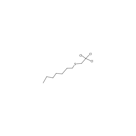 CCCCCCCSCC(Cl)(Cl)Cl